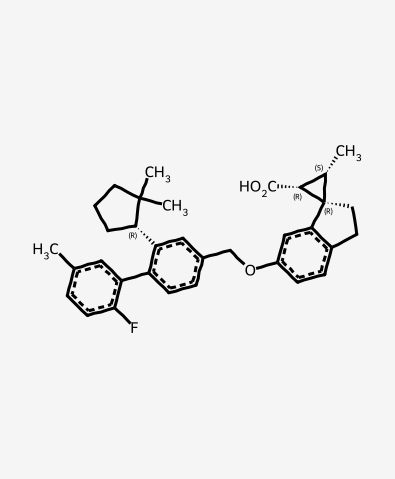 Cc1ccc(F)c(-c2ccc(COc3ccc4c(c3)[C@@]3(CC4)[C@H](C(=O)O)[C@@H]3C)cc2[C@@H]2CCCC2(C)C)c1